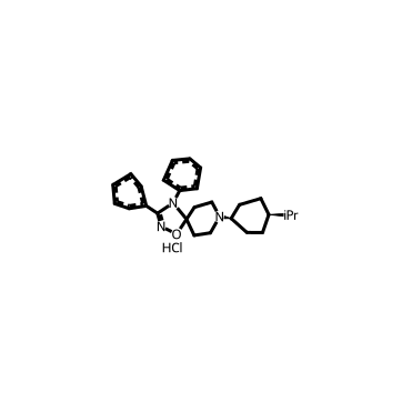 CC(C)[C@H]1CC[C@@H](N2CCC3(CC2)ON=C(c2ccccc2)N3c2ccccc2)CC1.Cl